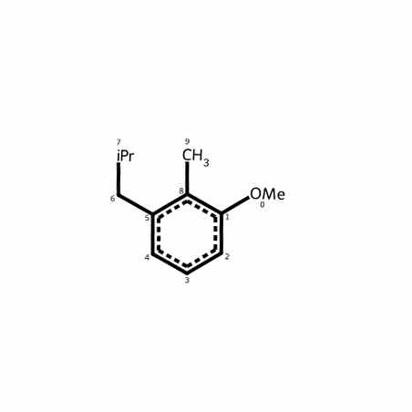 COc1cccc(CC(C)C)c1C